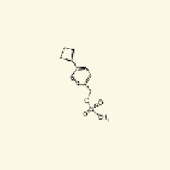 CS(=O)(=O)OCc1ccc(C2CCC2)cc1